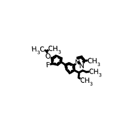 CCCC(CC)c1ccc(-c2ccc(OC(C)C)c(F)c2)cc1-n1ccc(C)n1